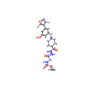 Cc1noc(C)c1-c1cc(O)cc(CN2CCC(C(=O)NNC(=O)CNC(=O)OC(C)(C)C)CC2)c1